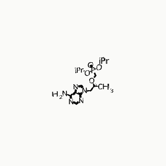 CC(C)OP(=O)(CO[C@@H](C)Cn1cnc2c(N)ncnc21)OC(C)C